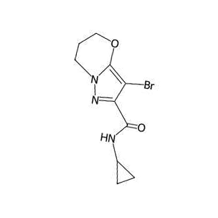 O=C(NC1CC1)c1nn2c(c1Br)OCCC2